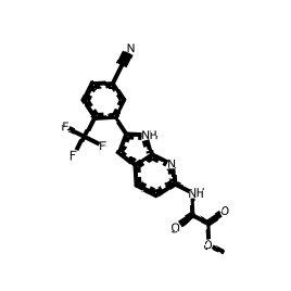 COC(=O)C(=O)Nc1ccc2cc(-c3cc(C#N)ccc3C(F)(F)F)[nH]c2n1